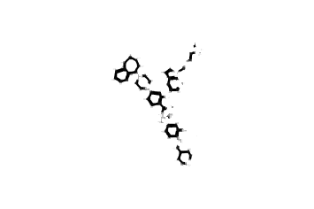 C[Si](C)(C)CCOCn1ccc2cc(Oc3cc(N4CCN(C5CCCCc6ccccc65)CC4)ccc3C(=O)NS(=O)(=O)c3ccc(NCC4CCOCC4)c([N+](=O)[O-])c3)cnc21